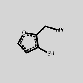 CCCCc1occc1S